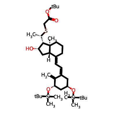 C=C1C(=CC=C2CCC[C@]3(C)[C@@H]([C@H](C)SCC(=O)OC(C)(C)C)[C@@H](O)C[C@@H]23)C[C@@H](O[Si](C)(C)C(C)(C)C)C[C@@H]1O[Si](C)(C)C(C)(C)C